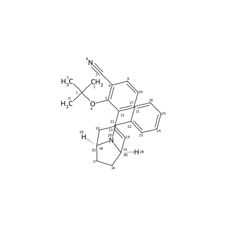 CC(C)(C)Oc1c(C#N)cccc1C1=C[C@H]2CC[C@@H](C1)N2Cc1ccccc1